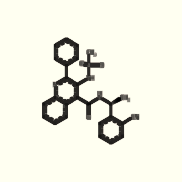 C[C@H](NC(=O)c1c(NS(C)(=O)=O)c(-c2ccccc2)nc2ccccc12)c1ccccc1C#N